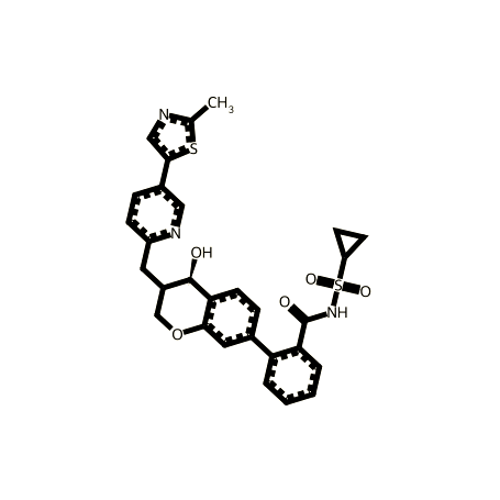 Cc1ncc(-c2ccc(CC3COc4cc(-c5ccccc5C(=O)NS(=O)(=O)C5CC5)ccc4[C@@H]3O)nc2)s1